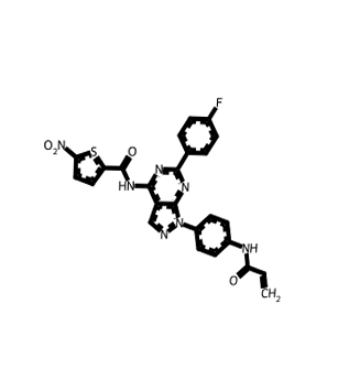 C=CC(=O)Nc1ccc(-n2ncc3c(NC(=O)c4ccc([N+](=O)[O-])s4)nc(-c4ccc(F)cc4)nc32)cc1